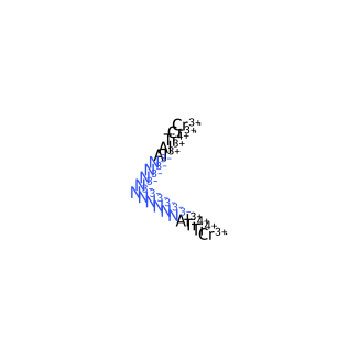 [Al+3].[Al+3].[Al+3].[Cr+3].[Cr+3].[Cr+3].[N-3].[N-3].[N-3].[N-3].[N-3].[N-3].[N-3].[N-3].[N-3].[N-3].[Ti+4].[Ti+4].[Ti+4]